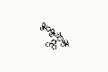 O=C(NCC1OCCN(C(=O)O)CC1c1ccc(Cl)c(Cl)c1)Oc1ccc([N+](=O)[O-])cc1